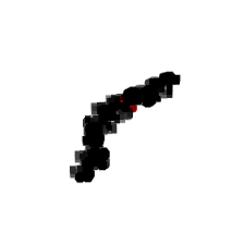 CO[C@@H]1[C@@H](OC(=O)c2ccc(C)[nH]2)[C@@H](O)[C@H](Oc2ccc3c(O)c(NC(=O)c4c[nH]c(C(=O)Nc5c(O)c6ccc(O[C@@H]7OC(C)(C)[C@H](C)[C@@H](OC(=O)c8ccc(C)[nH]8)[C@H]7O)c(C)c6oc5=O)c4C)c(=O)oc3c2C)OC1(C)C